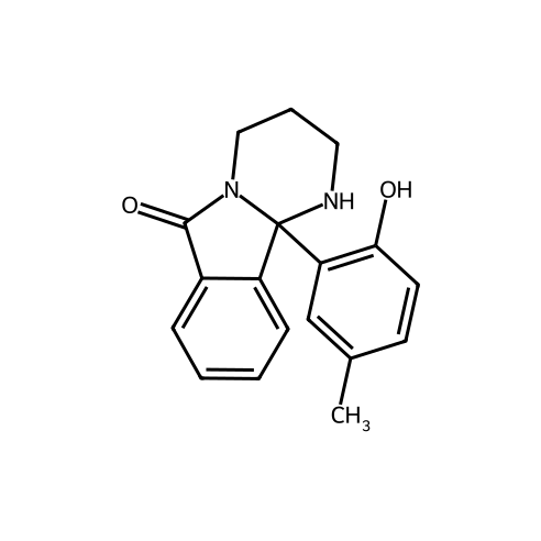 Cc1ccc(O)c(C23NCCCN2C(=O)c2ccccc23)c1